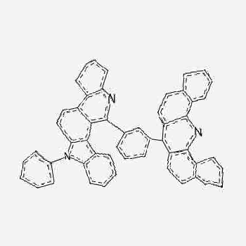 c1ccc(-n2c3ccccc3c3c4c(-c5cccc(-c6c7ccc8ccccc8c7nc7c6ccc6ccccc67)c5)nc5ccccc5c4ccc32)cc1